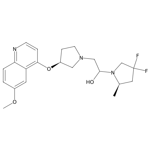 COc1ccc2nccc(O[C@H]3CCN(CC(O)N4CC(F)(F)C[C@H]4C)C3)c2c1